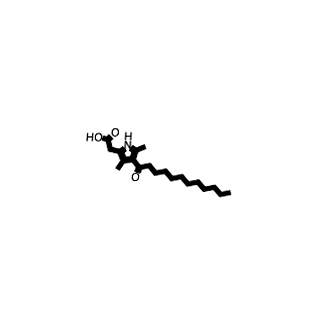 CCCCCCCCCCCC(=O)c1c(C)[nH]c(CC(=O)O)c1C